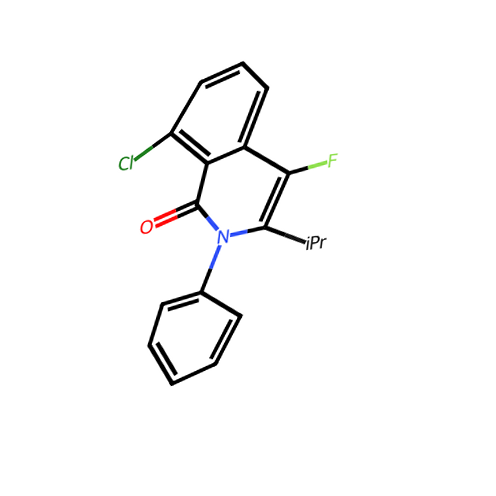 CC(C)c1c(F)c2cccc(Cl)c2c(=O)n1-c1ccccc1